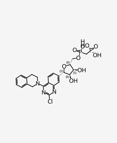 O=P(O)(O)CP(=O)(O)OC[C@H]1O[C@@H](c2ccc3c(N4CCc5ccccc5C4)nc(Cl)nc3c2)[C@H](O)[C@@H]1O